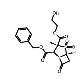 C[C@]1(C(=O)OCCO)[C@H](C(=O)OCc2ccccc2)N2C(=O)C[C@H]2S1(=O)=O